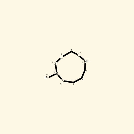 CC(C)B1SCCCNCCCS1